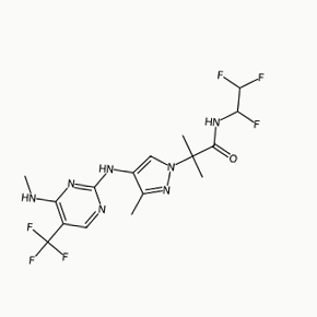 CNc1nc(Nc2cn(C(C)(C)C(=O)NC(F)C(F)F)nc2C)ncc1C(F)(F)F